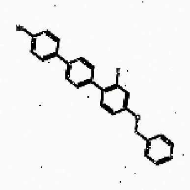 Fc1cc(OCc2ccccc2)ccc1-c1ccc(-c2ccc(Br)cc2)cc1